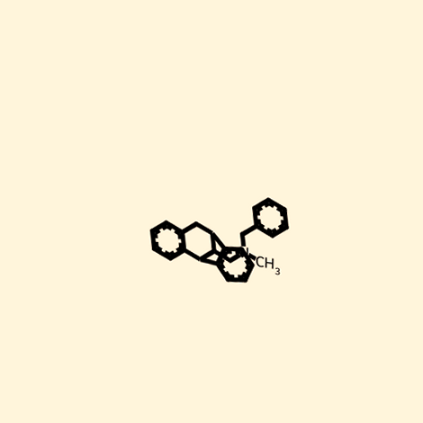 CN(Cc1ccccc1)CC1C2Cc3ccccc3C1c1ccccc12